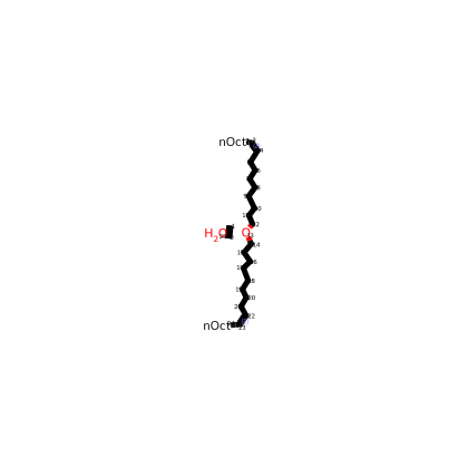 C=C.CCCCCCCC/C=C\CCCCCCCCOCCCCCCCC/C=C\CCCCCCCC.O